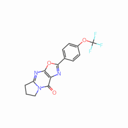 O=c1c2nc(-c3ccc(OC(F)(F)F)cc3)oc2nc2n1CCC2